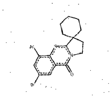 CC(=O)c1cc(Br)cc2c(=O)n3c(nc12)C1(CCCCC1)CC3